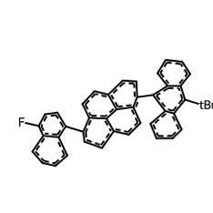 CC(C)(C)c1c2ccccc2c(-c2ccc3ccc4c(-c5ccc(F)c6ccccc56)ccc5ccc2c3c54)c2ccccc12